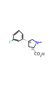 CN1C[C@@H](c2cc[c]c(F)c2)C[C@H]1C(=O)O